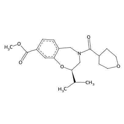 COC(=O)c1ccc2c(c1)O[C@H](C(C)C)CN(C(=O)C1CCOCC1)C2